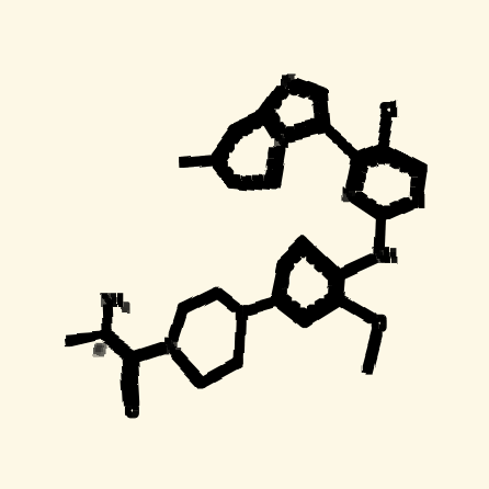 COc1cc(N2CCN(C(=O)[C@@H](C)N)CC2)ccc1Nc1ncc(Cl)c(-c2cnc3cc(C)ccn23)n1